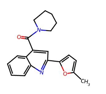 Cc1ccc(-c2cc(C(=O)N3CCCCC3)c3ccccc3n2)o1